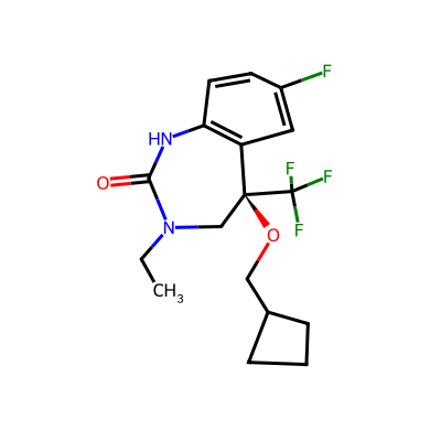 CCN1C[C@@](OCC2CCC2)(C(F)(F)F)c2cc(F)ccc2NC1=O